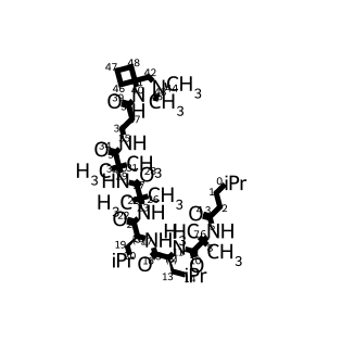 CC(C)CCC(=O)NC(C)(C)C(=O)N[C@@H](CC(C)C)C(=O)N[C@@H](CC(C)C)C(=O)NC(C)(C)C(=O)NC(C)(C)C(=O)NCCC(=O)NC1(CN(C)C)CCC1